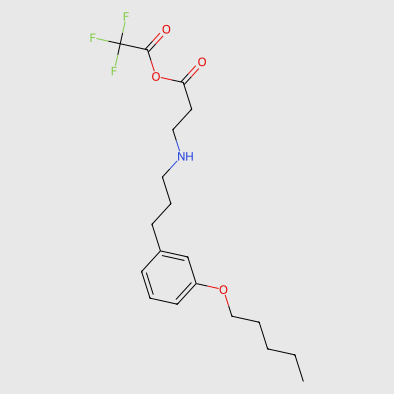 CCCCCOc1cccc(CCCNCCC(=O)OC(=O)C(F)(F)F)c1